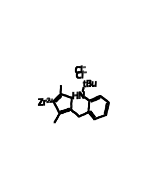 CC1=[C]([Zr+2])C(C)=C(Cc2ccccc2NC(C)(C)C)C1.[Cl-].[Cl-]